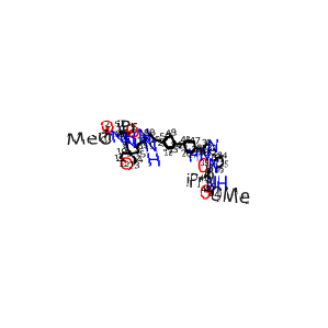 COC(=O)N[C@H](C(=O)N1CC2(CCOCC2)CC1c1ncc(-c2ccc(-c3ccc(-c4cnc([C@@H]5CCCN5C(=O)[C@@H](NC(=O)OC)C(C)C)[nH]4)cc3)cc2)[nH]1)C(C)C